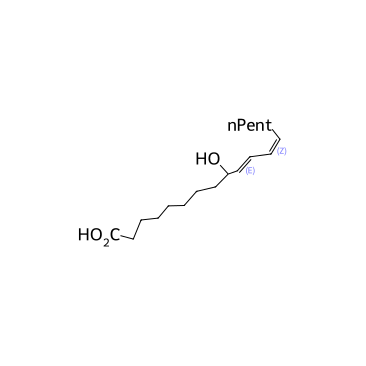 CCCCC/C=C\C=C\C(O)CCCCCCCC(=O)O